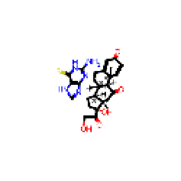 C[C@]12C=CC(=O)C=C1CC[C@@H]1[C@@H]2C(=O)C[C@@]2(C)[C@H]1CC[C@]2(O)C(=O)CO.Nc1nc2nc[nH]c2c(=S)[nH]1